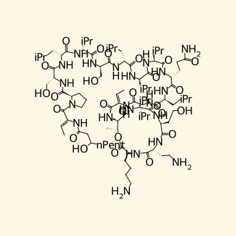 C/C=C(\NC(=O)[C@H](NC(=O)[C@H](CC(C)C)NC(=O)[C@@H](CCC(N)=O)NC(=O)[C@@H](NC(=O)[C@H](NC(=O)[C@@H](CC(C)C)NC(=O)[C@@H](CO)NC(=O)[C@H](NC(=O)[C@@H](CC(C)C)NC(=O)[C@@H](CO)NC(=O)[C@H]1CCCN1C(=O)/C(=C/C)NC(=O)CC(O)CCCCC)C(C)C)C(C)C)C(C)C)C(C)C)C(=O)N[C@H]1C(=O)N[C@@H](C(C)C)C(=O)N[C@@H](CCO)C(=O)N[C@H](CCN)C(=O)N[C@@H](CCCCN)C(=O)O[C@@H]1C